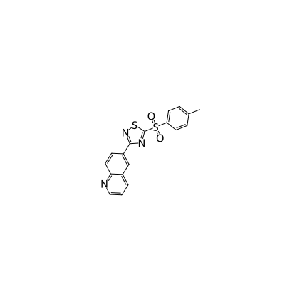 Cc1ccc(S(=O)(=O)c2nc(-c3ccc4ncccc4c3)ns2)cc1